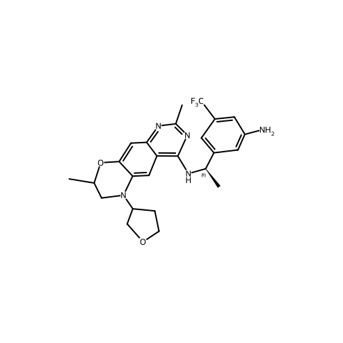 Cc1nc(N[C@H](C)c2cc(N)cc(C(F)(F)F)c2)c2cc3c(cc2n1)OC(C)CN3C1CCOC1